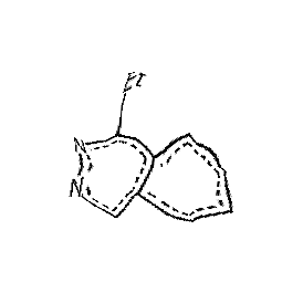 CCc1nncc2ccccc12